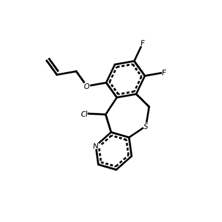 C=CCOc1cc(F)c(F)c2c1C(Cl)c1ncccc1SC2